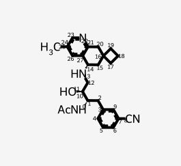 CC(=O)N[C@@H](Cc1cccc(C#N)c1)[C@@H](O)CN[C@H]1CC2(CCC2)Cc2ncc(C)cc21